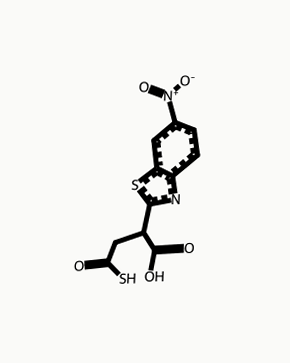 O=C(S)CC(C(=O)O)c1nc2ccc([N+](=O)[O-])cc2s1